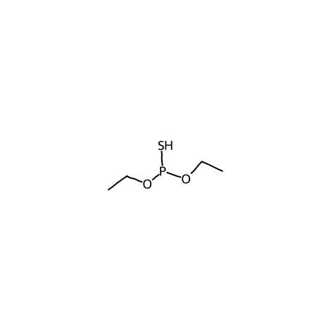 CCOP(S)OCC